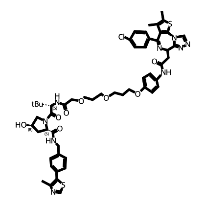 Cc1ncsc1-c1ccc(CNC(=O)[C@@H]2C[C@@H](O)CN2C(=O)[C@@H](NC(=O)COCCCOCCCOc2ccc(NC(=O)CC3N=C(c4ccc(Cl)cc4)c4c(sc(C)c4C)-n4cnnc43)cc2)C(C)(C)C)cc1